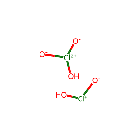 [O-][Cl+2]([O-])O.[O-][Cl+]O